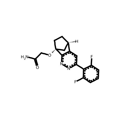 NC(=O)CO[C@]12CC[C@H](C1)c1cc(-c3c(F)cccc3F)nnc12